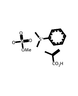 C=C(C)C(=O)O.COS(=O)(=O)[O-].C[S+](C)c1ccccc1